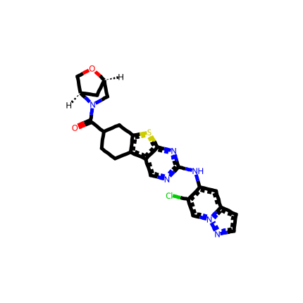 O=C(C1CCc2c(sc3nc(Nc4cc5ccnn5cc4Cl)ncc23)C1)N1C[C@H]2C[C@@H]1CO2